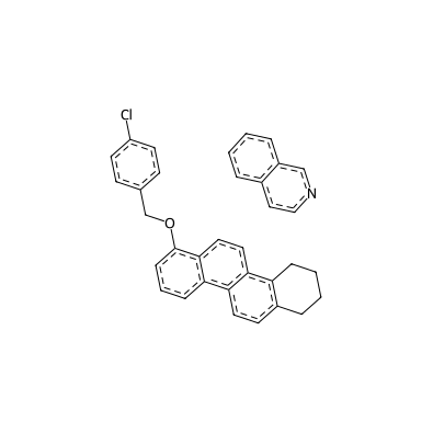 Clc1ccc(COc2cccc3c2ccc2c4c(ccc23)CCCC4)cc1.c1ccc2cnccc2c1